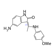 COc1ccc(N/C(C)=C2\C(=O)Nc3ccc(N)cc32)cc1